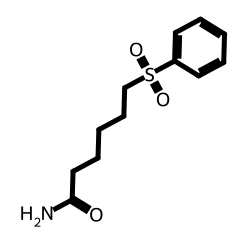 NC(=O)CCCCCS(=O)(=O)c1ccccc1